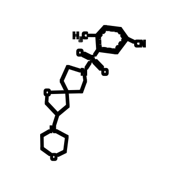 Cc1ccc(C#N)cc1S(=O)(=O)N1CCC2(CC1)CC(N1CCOCC1)CO2